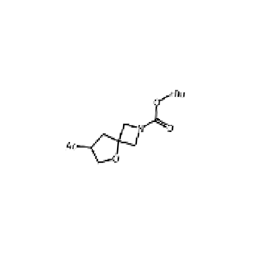 CC(=O)C1COC2(C1)CN(C(=O)OC(C)(C)C)C2